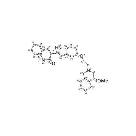 COCCN(CCOc1ccc2[nH]c(-c3cc4ccccc4[nH]c3=O)cc2c1)Cc1ccccc1